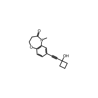 CN1C(=O)CCOc2ccc(C#CC3(O)CCC3)cc21